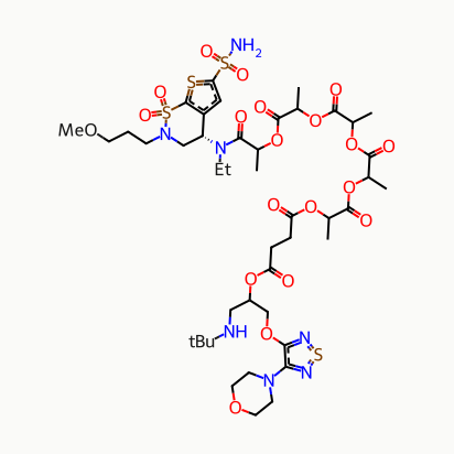 CCN(C(=O)C(C)OC(=O)C(C)OC(=O)C(C)OC(=O)C(C)OC(=O)C(C)OC(=O)CCC(=O)OC(CNC(C)(C)C)COc1nsnc1N1CCOCC1)[C@@H]1CN(CCCOC)S(=O)(=O)c2sc(S(N)(=O)=O)cc21